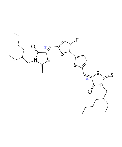 C=c1s/c(=C\c2cc(F)c(-c3ccc(/C=C4\SC(=S)N(CC(CC)CCCC)C4=O)s3)s2)c(=O)n1CC(CC)CCCC